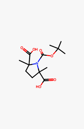 CC(C)(C)OC(=O)N1C(C)(C(=O)O)CCC1(C)C(=O)O